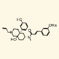 C=CCN1CC[C@@]2(c3cccc(O)c3)C[C@H](N(C)C(=O)C=Cc3cccc(OC)c3)CC[C@]2(O)C1